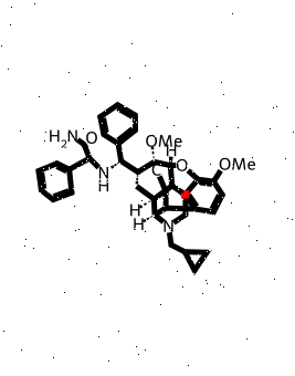 COc1ccc2c3c1O[C@H]1[C@@]4(OC)CCC2[C@@H]2[C@@H](C[C@@H]4[C@H](NC(C(N)=O)c4ccccc4)c4ccccc4)[C@@]31CCN2CC1CC1